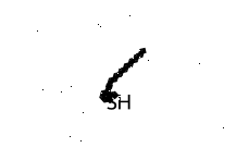 C=Cc1c(S)cccc1C#CCCCCCCCCCCCCCC